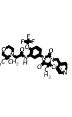 CC1(C)COCCN1CC(=O)Nc1cc(N2C(=O)N(Cc3ccncc3)C(C)(C)C2=O)ccc1OC(F)(F)F